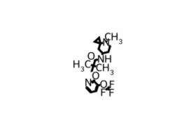 CN1CCC(NC(=O)C(C)(C)COc2ncccc2OC(F)(F)F)CC12CC2